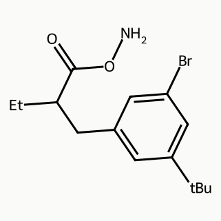 CCC(Cc1cc(Br)cc(C(C)(C)C)c1)C(=O)ON